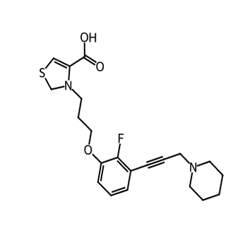 O=C(O)C1=CSCN1CCCOc1cccc(C#CCN2CCCCC2)c1F